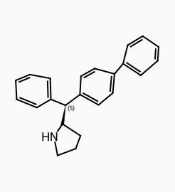 c1ccc(-c2ccc([C@H](c3ccccc3)C3CCCN3)cc2)cc1